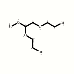 CCOC(COCCO)OCCO